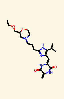 C=c1[nH]c(=O)c(=Cc2nc(CCCN3CCOC(COCC)C3)[nH]c2C(C)C)[nH]c1=O